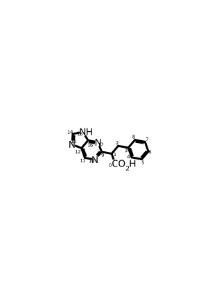 O=C(O)C(Cc1ccccc1)c1ncc2nc[nH]c2n1